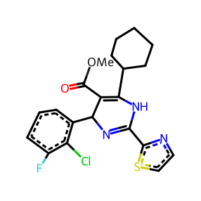 COC(=O)C1=C(C2CCCCC2)NC(c2nccs2)=NC1c1cccc(F)c1Cl